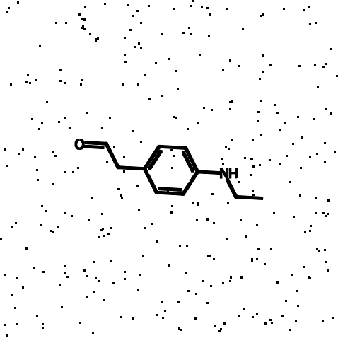 CCNc1ccc(CC=O)cc1